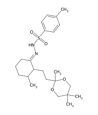 Cc1ccc(S(=O)(=O)NN=C2CCCC(C)C2CCC2(C)OCC(C)(C)CO2)cc1